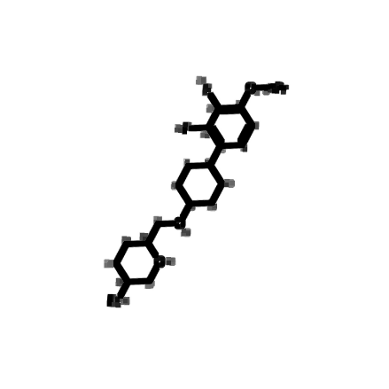 CCCOc1ccc(C2CCC(OCC3CCC(CC)CO3)CC2)c(F)c1F